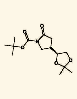 CC(C)(C)OC(=O)N1CC([C@H]2COC(C)(C)O2)CC1=O